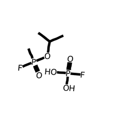 CC(C)OP(C)(=O)F.O=P(O)(O)F